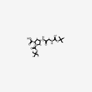 CC(C)(C)OC(=O)NCC(=O)N[C@H]1C[C@H](C(=O)O)N(C(=O)OC(C)(C)C)C1